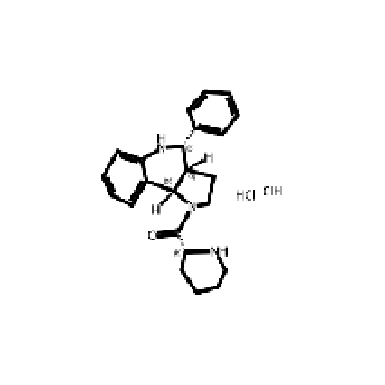 Cl.Cl.O=C([C@H]1CCCCN1)N1CC[C@H]2[C@@H](c3ccccc3)Nc3ccccc3[C@H]21